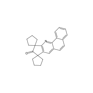 O=C1C2(CCCC2)c2cc3ccc4ccccc4c3nc2C12CCCC2